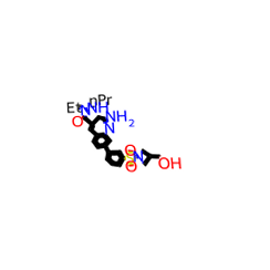 CCCNN(CC)C(=O)C1=Cc2ccc(-c3cccc(S(=O)(=O)N4CC(CO)C4)c3)cc2N=C(N)C1